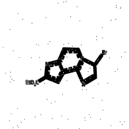 CCOC(=O)c1cc2c3n(ccc-2n1)C(Br)C=N3